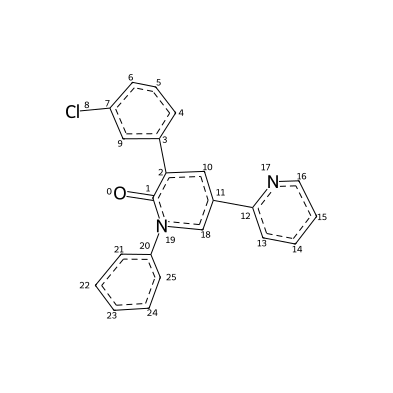 O=c1c(-c2cccc(Cl)c2)cc(-c2ccccn2)cn1-c1ccccc1